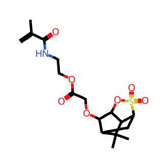 C=C(C)C(=O)NCCOC(=O)COC1C2OS(=O)(=O)C3CC1C(C)(C)C23